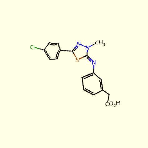 Cn1nc(-c2ccc(Cl)cc2)sc1=Nc1cccc(CC(=O)O)c1